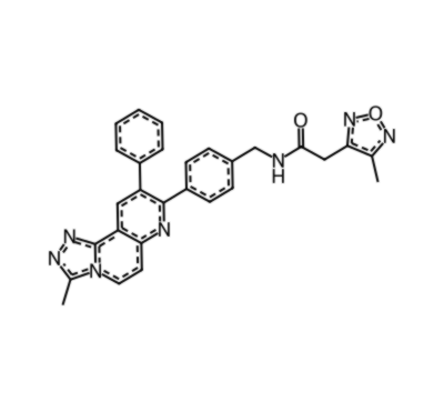 Cc1nonc1CC(=O)NCc1ccc(-c2nc3ccn4c(C)nnc4c3cc2-c2ccccc2)cc1